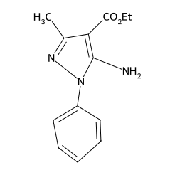 CCOC(=O)c1c(C)nn(-c2ccccc2)c1N